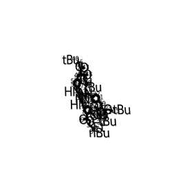 CCCCC(CC)COC(=O)c1cc(Nc2nc(Nc3ccc(C=C(C(=O)OCC(C)(C)C)C(=O)OCC(C)(C)C)cc3)nc(Nc3ccc(C=C(C(=O)OCC(C)(C)C)C(=O)OCC(C)(C)C)cc3)n2)ccc1O